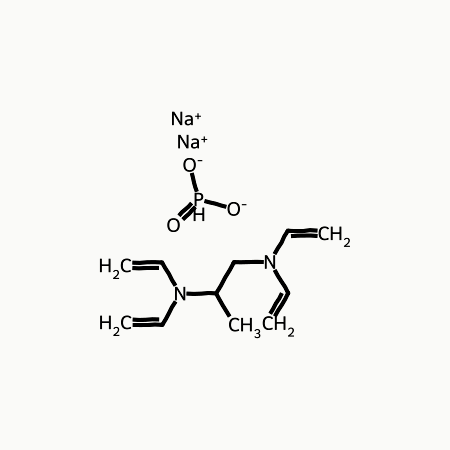 C=CN(C=C)CC(C)N(C=C)C=C.O=[PH]([O-])[O-].[Na+].[Na+]